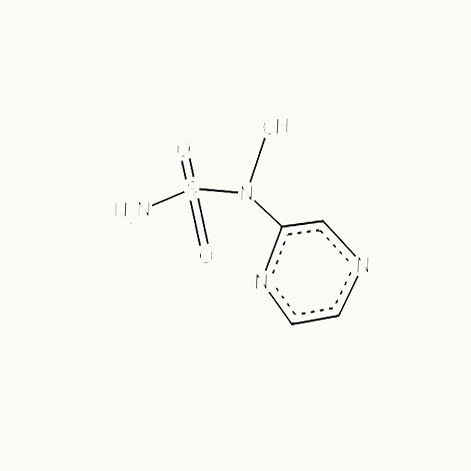 CN(c1cnccn1)S(N)(=O)=O